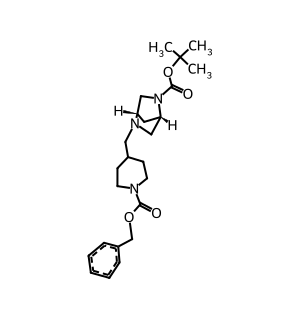 CC(C)(C)OC(=O)N1C[C@@H]2C[C@H]1CN2CC1CCN(C(=O)OCc2ccccc2)CC1